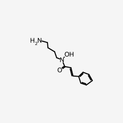 NCCCCN(O)C(=O)C=Cc1ccccc1